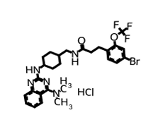 CN(C)c1nc(NC2CCC(CNC(=O)CCc3ccc(Br)cc3OC(F)(F)F)CC2)nc2ccccc12.Cl